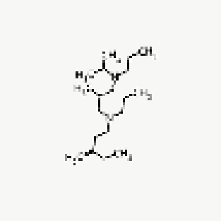 C=C(CC)CCN(CCC)CC(C)CN(CCC)C(C)C